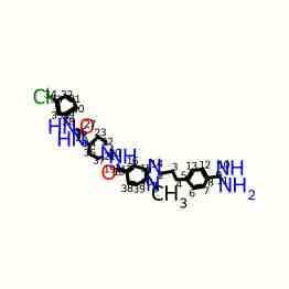 Cn1c(CCc2ccc(C(=N)N)cc2)nc2cc(C(=O)NN3CCC(NC(=O)Nc4cccc(Cl)c4)CC3)ccc21